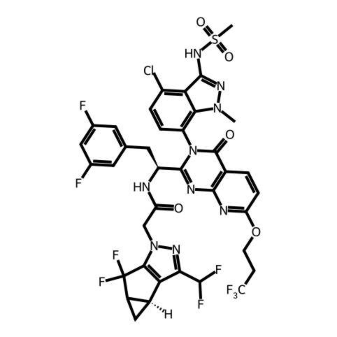 Cn1nc(NS(C)(=O)=O)c2c(Cl)ccc(-n3c([C@H](Cc4cc(F)cc(F)c4)NC(=O)Cn4nc(C(F)F)c5c4C(F)(F)C4C[C@H]54)nc4nc(OCCC(F)(F)F)ccc4c3=O)c21